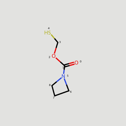 O=C(OCS)N1CCC1